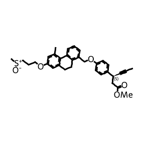 CC#C[C@@H](CC(=O)OC)c1ccc(OCc2cccc3c2CCc2cc(OCCC[S+](C)[O-])cc(C)c2-3)cc1